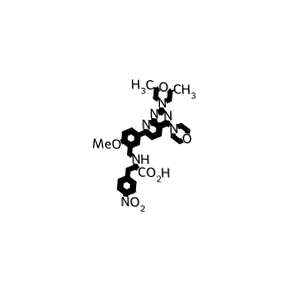 COc1ccc(-c2ccc3c(N4CCOCC4)nc(N4C[C@@H](C)O[C@@H](C)C4)nc3n2)cc1CNC(Cc1ccc([N+](=O)[O-])cc1)C(=O)O